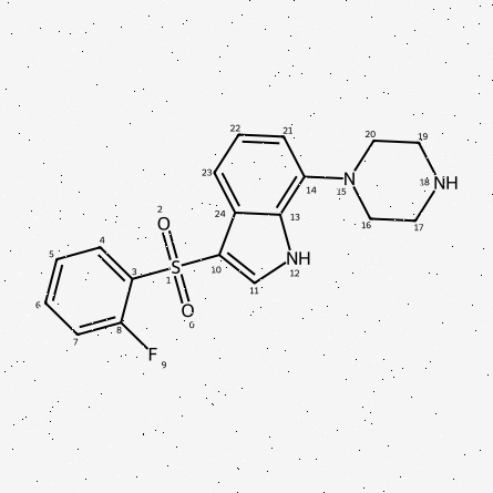 O=S(=O)(c1ccccc1F)c1c[nH]c2c(N3CCNCC3)cccc12